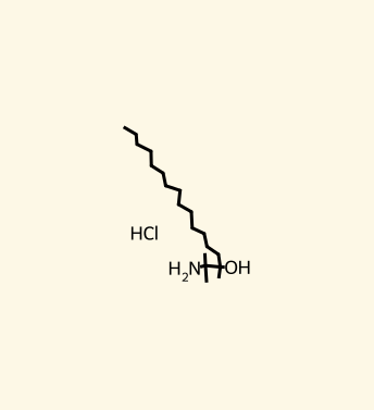 CCCCCCCCCCCCCCC(C)(O)C(C)(C)N.Cl